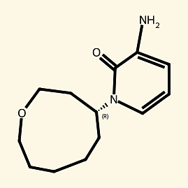 Nc1cccn([C@@H]2CCCCCOCC2)c1=O